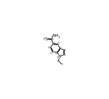 CCn1ccc2cc(C(N)=S)ccc21